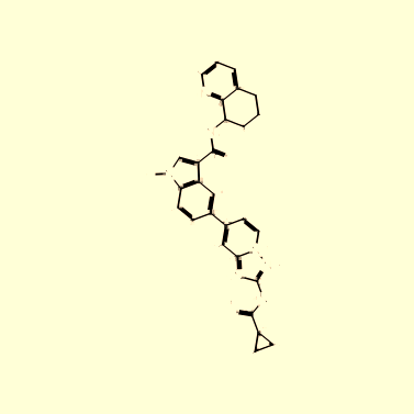 Cn1cc(C(=O)NC2CCCc3cccnc32)c2cc(-c3ccn4nc(NC(=O)C5CC5)nc4c3)ccc21